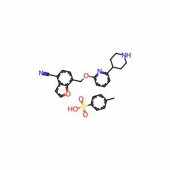 Cc1ccc(S(=O)(=O)O)cc1.N#Cc1ccc(COc2cccc(C3CCNCC3)n2)c2occc12